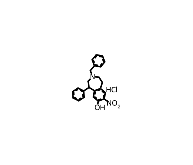 Cl.O=[N+]([O-])c1cc2c(cc1O)C(c1ccccc1)CN(Cc1ccccc1)CC2